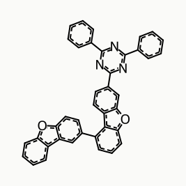 c1ccc(-c2nc(-c3ccccc3)nc(-c3ccc4c(c3)oc3cccc(-c5ccc6oc7ccccc7c6c5)c34)n2)cc1